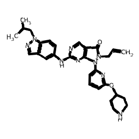 C=CCn1c(=O)c2cnc(Nc3ccc4c(cnn4CC(C)C)c3)nc2n1-c1cccc(OC2CCNCC2)n1